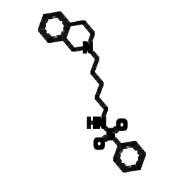 O=S(=O)(NCCCCCN1CCc2ccccc2C1)c1ccccc1